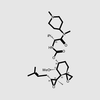 CO[C@@H]1[C@H](OC(=O)N[C@@H](C(=O)N(C)C2CCN(C)CC2)C(C)C)CC[C@]2(CO2)[C@H]1[C@@]1(C)O[C@@H]1CC=C(C)C